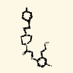 O=C(COc1ccc(Cl)cc1CCS(=O)(=O)O)N1CCN(CCc2ccc(F)cc2)CC1